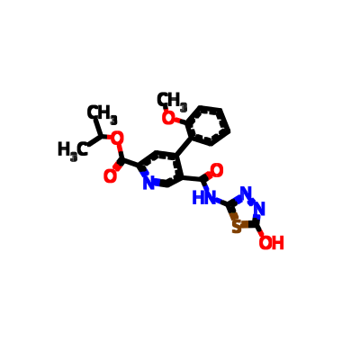 COc1ccccc1-c1cc(C(=O)OC(C)C)ncc1C(=O)Nc1nnc(O)s1